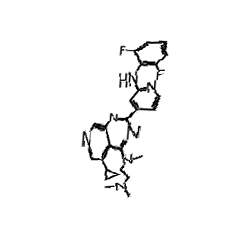 CN(C)CCN(C)c1nc(-c2ccnc(Nc3c(F)cccc3F)c2)nc2cncc(C3CC3)c12